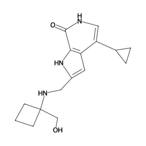 O=c1[nH]cc(C2CC2)c2cc(CNC3(CO)CCC3)[nH]c12